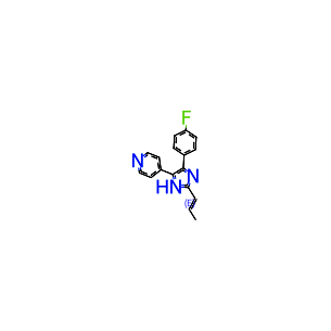 C/C=C/c1nc(-c2ccc(F)cc2)c(-c2ccncc2)[nH]1